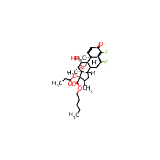 CCCCCOC(=O)[C@@]1(OC(=O)CC)[C@H](C)C[C@H]2[C@@H]3C[C@H](F)C4=C(F)C(=O)C=C[C@]4(C)[C@@]3(Br)[C@@H](O)C[C@@]21C